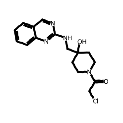 O=C(CCl)N1CCC(O)(CNc2ncc3ccccc3n2)CC1